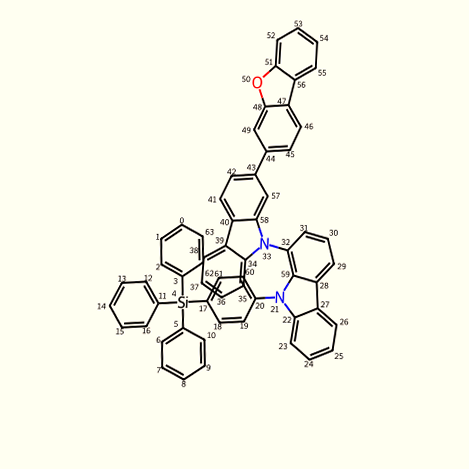 c1ccc([Si](c2ccccc2)(c2ccccc2)c2ccc(-n3c4ccccc4c4cccc(-n5c6ccccc6c6ccc(-c7ccc8c(c7)oc7ccccc78)cc65)c43)cc2)cc1